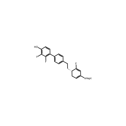 CCCCCCCC1=CC[C@H](CCc2ccc(-c3ccc(O)c(F)c3F)cc2)C(F)=C1